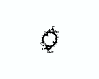 COc1cc2cc(c1Cl)N(C)C(=O)CC[C@@]1(C)CC(C)(O1)[C@@H]1C[C@](O)(C/C=C/C=C(\C)C2)NC(=O)O1